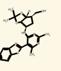 Cc1nc(C)c(-c2nc3ccccc3s2)c(N[C@@H]2C[C@H](CO)[C@H]3OC(C)(C)OC23)n1